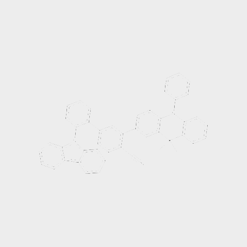 CC1(C)c2ccccc2N(c2ccccc2)c2ccc(-c3cc(-c4ccccc4-n4c5ccccc5c5ccccc54)ccc3C#N)cc21